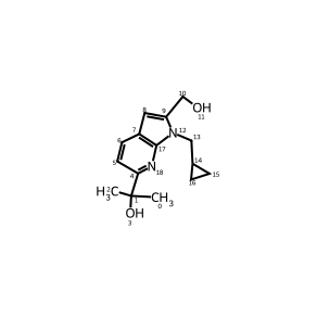 CC(C)(O)c1ccc2cc(CO)n(CC3CC3)c2n1